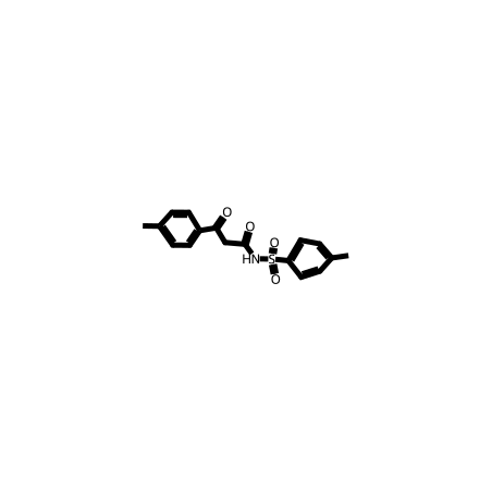 Cc1ccc(C(=O)CC(=O)NS(=O)(=O)c2ccc(C)cc2)cc1